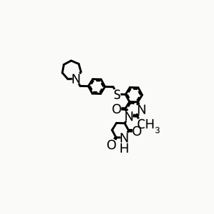 Cc1nc2cccc(SCc3ccc(CN4CCCCCC4)cc3)c2c(=O)n1C1CCC(=O)NC1=O